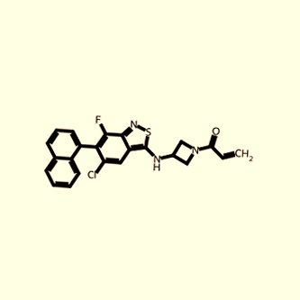 C=CC(=O)N1CC(Nc2snc3c(F)c(-c4cccc5ccccc45)c(Cl)cc23)C1